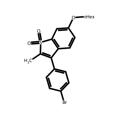 C[CH]CCCCOc1ccc2c(c1)S(=O)(=O)C(C)=C2c1ccc(Br)cc1